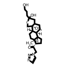 C[C@]12CC[C@H]3[C@@H](CCC4CC(O)(CCCO)CC[C@@]43C)[C@@H]1CC[C@@H]2C(=O)Cn1ccnn1